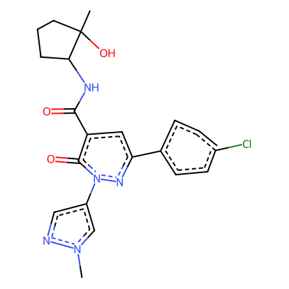 Cn1cc(-n2nc(-c3ccc(Cl)cc3)cc(C(=O)NC3CCCC3(C)O)c2=O)cn1